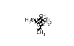 CCCC(CC)O[Si](CCC)(CCC)CCC